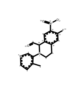 Cc1ccncc1N1CCc2cc(F)c([N+](=O)[O-])cc2C1C=O